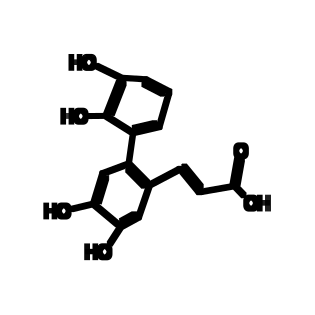 O=C(O)/C=C/c1cc(O)c(O)cc1-c1cccc(O)c1O